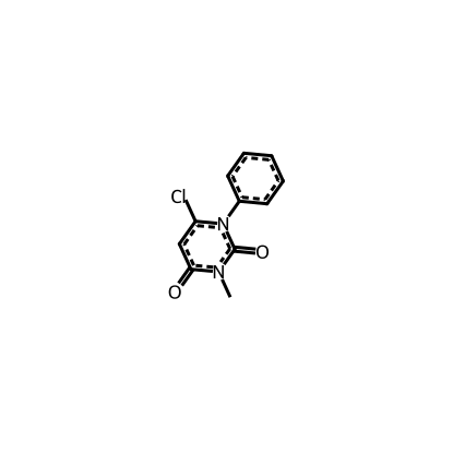 Cn1c(=O)cc(Cl)n(-c2ccccc2)c1=O